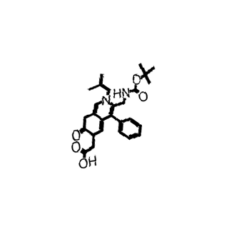 CC(C)CN1C=C2CC(=O)C(CC(=O)O)C=C2C(c2ccccc2)=C1CNC(=O)OC(C)(C)C